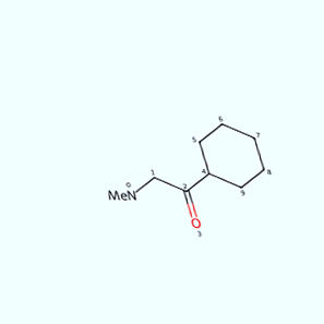 CNCC(=O)C1CCCCC1